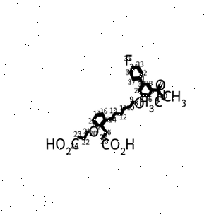 CN(C)C(=O)c1cc(OCCCCCCc2cccc(OCCCC(=O)O)c2CCC(=O)O)cc(-c2ccc(F)cc2)c1